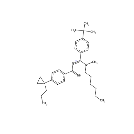 CCCCCCN(C)/C(=N\C(=N)c1ccc(C2(CCC)CC2)cc1)c1ccc(C(C)(C)C)cc1